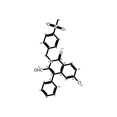 CS(=O)(=O)c1ccc(Cn2c(C=O)c(-c3ccccc3)c3cc(Cl)ccc3c2=O)cc1